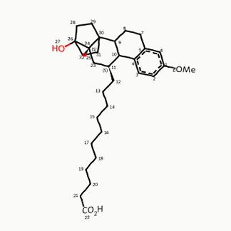 COc1ccc2c(c1)CCC1C2[C@@H](CCCCCCCCCCC(=O)O)C[C@]2(C)C3(O)CCC12CC3